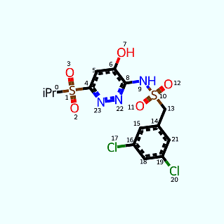 CC(C)S(=O)(=O)c1cc(O)c(NS(=O)(=O)Cc2cc(Cl)cc(Cl)c2)nn1